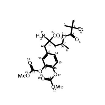 CCC(C)(C)C(=O)O[C@@H](C)CC(N)(Cc1ccc(OC(=O)OC)c(OC(=O)OC)c1)C(=O)O